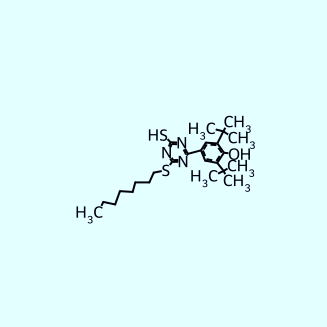 CCCCCCCCSc1nc(S)nc(-c2cc(C(C)(C)C)c(O)c(C(C)(C)C)c2)n1